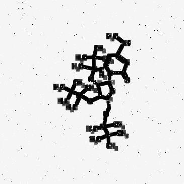 CNc1ccn([C@@H]2O[C@H](CO[Si](C)(C)C(C)(C)C)C(O[Si](C)(C)C(C)(C)C)[C@@H]2O[Si](C)(C)C(C)(C)C)c(=O)n1